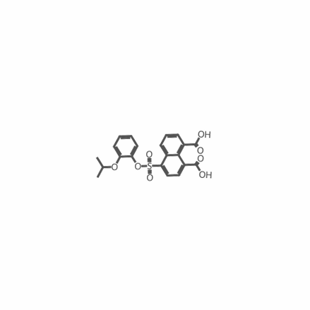 CC(C)Oc1ccccc1OS(=O)(=O)c1ccc(C(=O)O)c2c(C(=O)O)cccc12